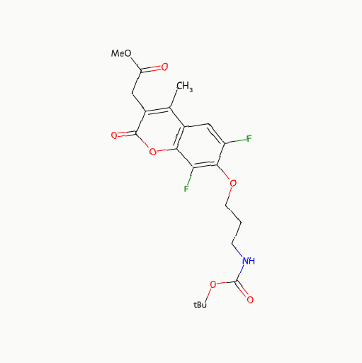 COC(=O)Cc1c(C)c2cc(F)c(OCCCNC(=O)OC(C)(C)C)c(F)c2oc1=O